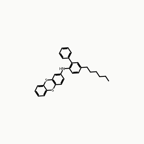 CCCCCCc1ccc(Nc2ccc3c(c2)Sc2ccccc2S3)c(-c2ccccc2)c1